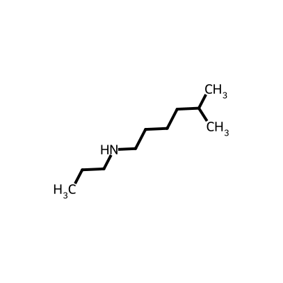 CCCNCCCCC(C)C